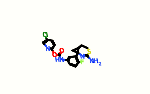 NC1=NC2(c3cc(NC(=O)Oc4ccc(Cl)cn4)ccc3F)CC2CCS1